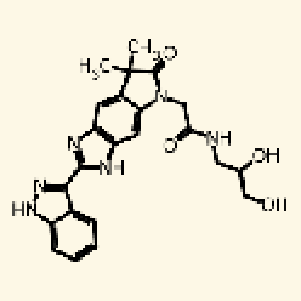 CC1(C)C(=O)N(CC(=O)NCC(O)CO)c2cc3[nH]c(-c4n[nH]c5ccccc45)nc3cc21